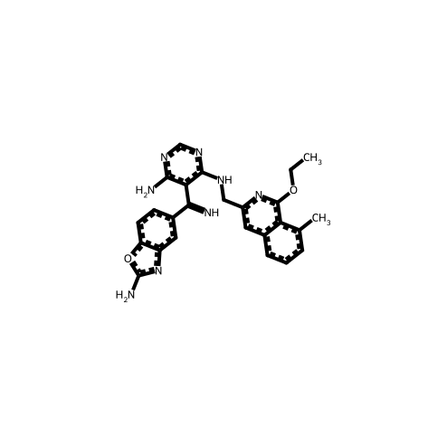 CCOc1nc(CNc2ncnc(N)c2C(=N)c2ccc3oc(N)nc3c2)cc2cccc(C)c12